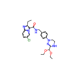 CCOC(OCC)C1=NN(c2ccc(CNC(=O)c3c(CC)nc4ccc(Cl)cn34)cc2)CCN1